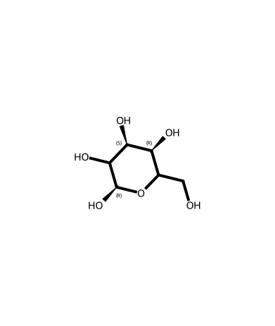 OCC1O[C@@H](O)C(O)[C@@H](O)[C@H]1O